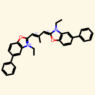 CCN1/C(=C/C(C)=C/c2oc3ccc(-c4ccccc4)cc3[n+]2CC)Oc2ccc(-c3ccccc3)cc21